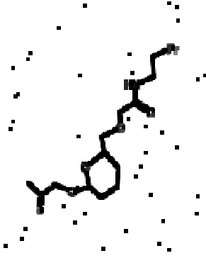 CC(C)CCNC(=O)COCC1CCCC(OCS(C)=S)O1